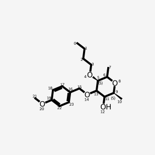 CCCCO[C@H]1C(C)O[C@@H](C)C(O)C1OCc1ccc(OC)cc1